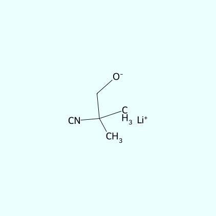 [C-]#[N+]C(C)(C)C[O-].[Li+]